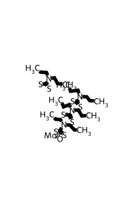 CCCN(CCC)C(=S)[S-].CCCN(CCC)C(=S)[S-].CCCN(CCC)C(=S)[S-].CCCN(CCC)C(=S)[S-].[O]=[Mo+4]